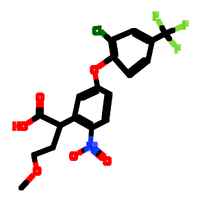 COCCC(C(=O)O)c1cc(Oc2ccc(C(F)(F)F)cc2Cl)ccc1[N+](=O)[O-]